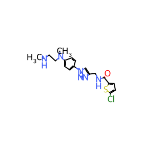 CNCCN(C)c1ccc(-n2cc(CNC(=O)c3ccc(Cl)s3)nn2)cc1